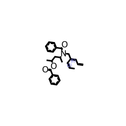 C=C/C=C(\C=C/C)CN(C(=O)c1ccccc1)C(C)CC(C)OC(=O)c1ccccc1